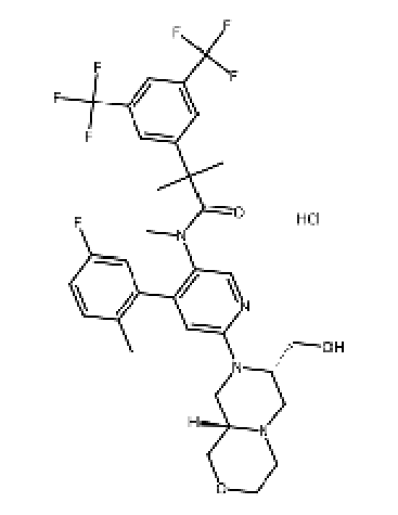 Cc1ccc(F)cc1-c1cc(N2C[C@H]3COCCN3C[C@H]2CO)ncc1N(C)C(=O)C(C)(C)c1cc(C(F)(F)F)cc(C(F)(F)F)c1.Cl